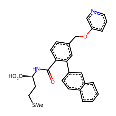 CSCC[C@H](NC(=O)c1ccc(COc2cccnc2)cc1-c1ccc2ccccc2c1)C(=O)O